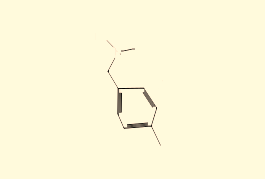 CCN(CC)Cc1ccc(C)cc1.O